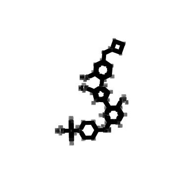 Cc1cc(CN2CCC2)ccc1-n1cc(-c2nc(NC3CCN(S(C)(=O)=O)CC3)ncc2C(F)(F)F)nc1C